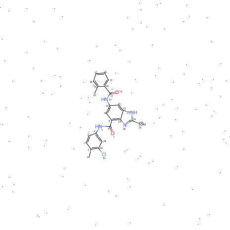 Cc1ccc(NC(=O)c2cc(NC(=O)c3ccccc3C)cc3[nH]c(C(C)(C)C)nc23)cc1Cl